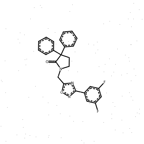 O=C1N(Cc2nc(-c3cc(F)cc(F)c3)no2)CCC1(c1ccccc1)c1ccccc1